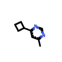 Cc1cc(C2CCC2)ncn1